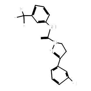 FC(F)(F)c1cccc(NC(=S)N2CCC(c3cccc(Cl)c3)=N2)c1